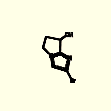 OC1CCn2cc(Br)nc21